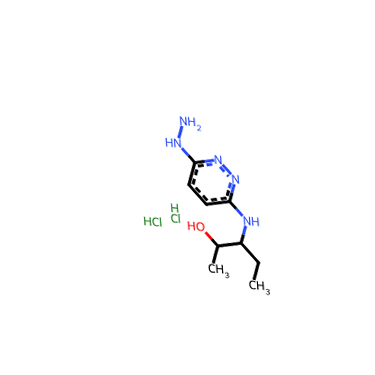 CCC(Nc1ccc(NN)nn1)C(C)O.Cl.Cl